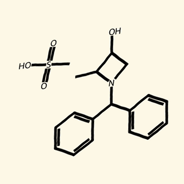 CC1C(O)CN1C(c1ccccc1)c1ccccc1.CS(=O)(=O)O